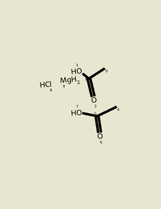 CC(=O)O.CC(=O)O.Cl.[MgH2]